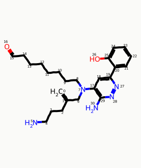 C=C(CCCN)CN(CCCCCCCC=O)c1cc(-c2ccccc2O)nnc1N